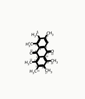 Cc1cc2c(c(C)c1C)C(=O)c1c(C)c(C)c(C)c(C)c1C2=O